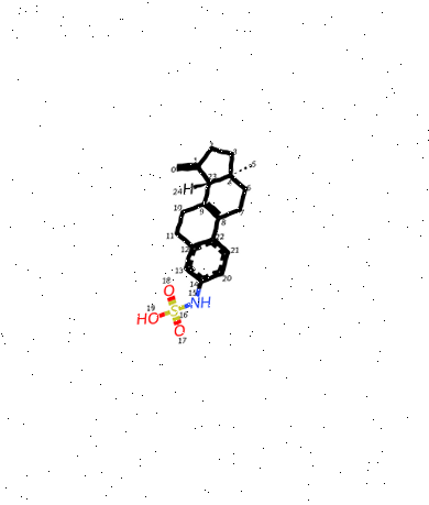 C=C1CC[C@@]2(C)CCC3=C(CCc4cc(NS(=O)(=O)O)ccc43)[C@H]12